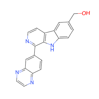 OCc1ccc2[nH]c3c(-c4ccc5nccnc5c4)nccc3c2c1